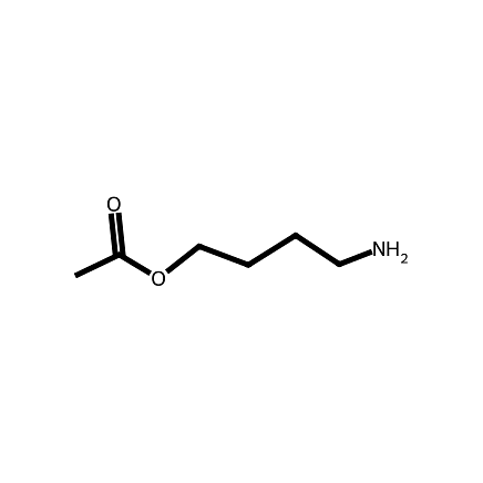 CC(=O)OCCCCN